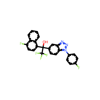 OC(c1ccc2c(c1)nnn2-c1ccc(F)cc1)(c1ccc(F)c2ccccc12)C(F)(F)F